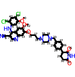 COc1cc(Nc2c(C#N)cnc3cc(OCCCN4CCN(Cc5ccc(C6CCC(=O)NC6=O)cc5)CC4)c(OC)cc23)c(Cl)cc1Cl